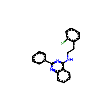 Fc1ccccc1CCNc1nc(-c2ccccc2)nc2ccccc12